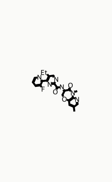 CCc1cnc(C(=O)/N=C2\COc3cc(C)cnc3N(C)C2=O)nc1-c1ncccc1F